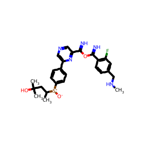 CNCc1ccc(C(=N)OC(=N)c2cncc(-c3ccc([S+]([O-])C(C)CC(C)(C)O)cc3)n2)c(F)c1